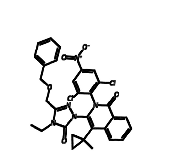 CCn1c(COCc2ccccc2)nn(-c2c(C3(C)CC3)c3ccccc3c(=O)n2-c2c(Cl)cc([N+](=O)[O-])cc2Cl)c1=O